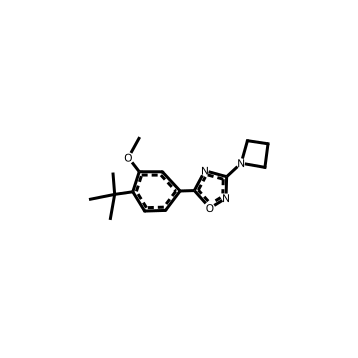 COc1cc(-c2nc(N3CCC3)no2)ccc1C(C)(C)C